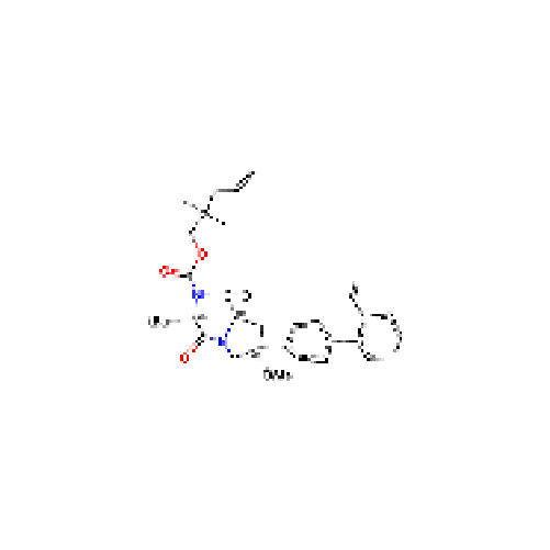 C=CCC(C)(C)COC(=O)N[C@H](C(=O)N1C[C@](OC)(c2ccc(-c3ccccc3C=C)cc2)C[C@H]1C=O)C(C)(C)C